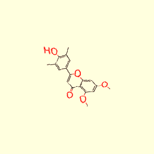 COc1cc(OC)c2c(=O)cc(-c3cc(C)c(O)c(C)c3)oc2c1